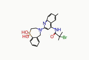 Cc1ccc2nc(N3CCS(O)(O)c4ccccc4C3)cc(NC(=O)C(C)(C)Br)c2c1